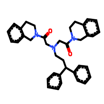 O=C(CN(CCC(c1ccccc1)c1ccccc1)CC(=O)N1CCc2ccccc2C1)N1CCc2ccccc2C1